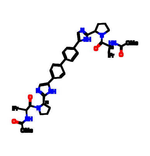 COC(=O)NC(C(=O)N1CCC[C@@H]1c1ncc(-c2ccc(-c3ccc(-c4cnc(C5CCCN5C(=O)[C@@H](NC(=O)OC)C(C)C)[nH]4)cc3)cc2)[nH]1)C(C)C